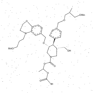 COCCCN1CCOc2ccc(CO[C@H]3CN(C(=O)OC(C)OC(=O)C(C)C)C[C@@H](CO)[C@@H]3c3ccc(COCC(C)COC)cc3)cc21